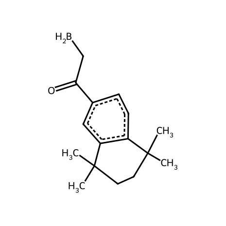 BCC(=O)c1ccc2c(c1)C(C)(C)CCC2(C)C